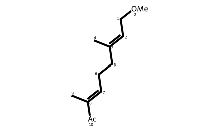 COC/C=C(\C)CC/C=C(\C)C(C)=O